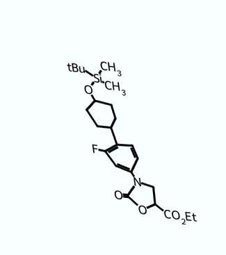 CCOC(=O)C1CN(c2ccc(C3CCC(O[Si](C)(C)C(C)(C)C)CC3)c(F)c2)C(=O)O1